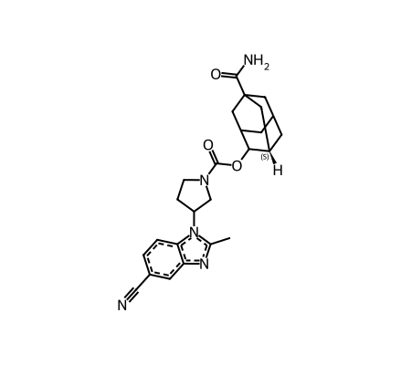 Cc1nc2cc(C#N)ccc2n1C1CCN(C(=O)OC2C3CC4C[C@H]2CC(C(N)=O)(C4)C3)C1